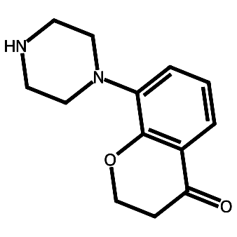 O=C1CCOc2c1cccc2N1CCNCC1